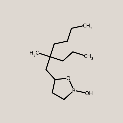 CCCCC(C)(CCC)CC1CCB(O)O1